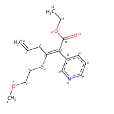 C=CCC(SCCOC)=C(C(=O)OCC)c1cccnc1